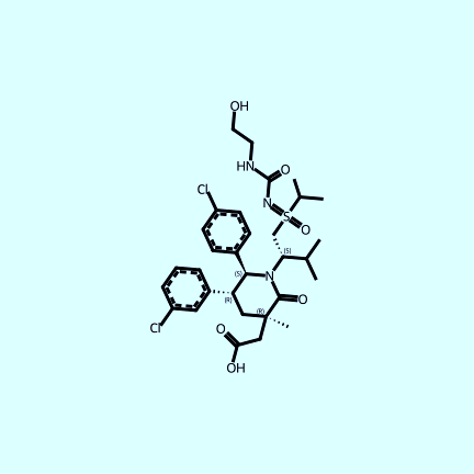 CC(C)[C@@H](CS(=O)(=NC(=O)NCCO)C(C)C)N1C(=O)[C@@](C)(CC(=O)O)C[C@H](c2cccc(Cl)c2)[C@H]1c1ccc(Cl)cc1